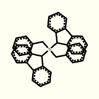 c1ccc([CH2][Ti]([CH2]c2ccccc2)([CH]2c3ccccc3-c3ccccc32)[CH]2c3ccccc3-c3ccccc32)cc1